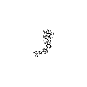 [2H]c1c([2H])c([2H])n2c(C(=O)Nc3cc(-c4noc(C5CN(C(=O)OC)C5)n4)ccc3C)cnc2c1[2H]